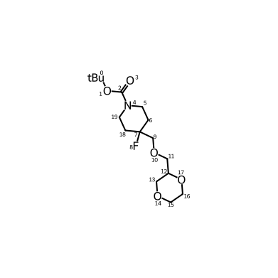 CC(C)(C)OC(=O)N1CCC(F)(COCC2COCCO2)CC1